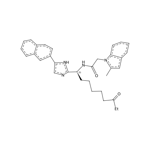 CCC(=O)CCCCC[C@H](NC(=O)Cn1c(C)cc2ccccc21)c1ncc(-c2ccc3ccccc3c2)[nH]1